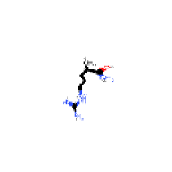 CC(CCCNC(=N)N)C(N)=O